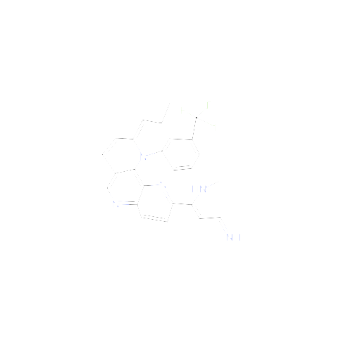 CC/C=C1/C=Cc2cnc3ccc(/C(=C/C=N)NC)nc3c2N1c1cccc(C(F)(F)F)c1